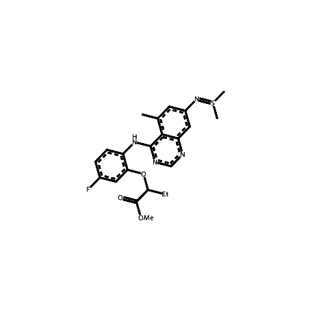 CCC(Oc1cc(F)ccc1Nc1ncnc2cc(N=S(C)C)cc(C)c12)C(=O)OC